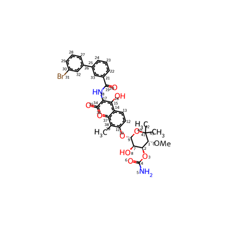 CO[C@@H]1[C@@H](OC(N)=O)[C@@H](O)[C@H](Oc2ccc3c(O)c(NC(=O)c4cccc(-c5cccc(Br)c5)c4)c(=O)oc3c2C)OC1(C)C